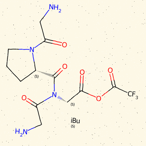 CC[C@H](C)[C@@H](C(=O)OC(=O)C(F)(F)F)N(C(=O)CN)C(=O)[C@@H]1CCCN1C(=O)CN